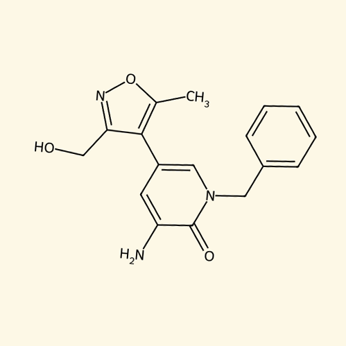 Cc1onc(CO)c1-c1cc(N)c(=O)n(Cc2ccccc2)c1